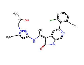 C/C(Nc1cc(C)n(C[C@H](C)O)n1)=C1/C(=O)Nc2cnc(-c3c(C)cccc3F)cc21